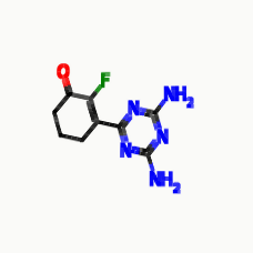 Nc1nc(N)nc(C2=C(F)C(=O)CCC2)n1